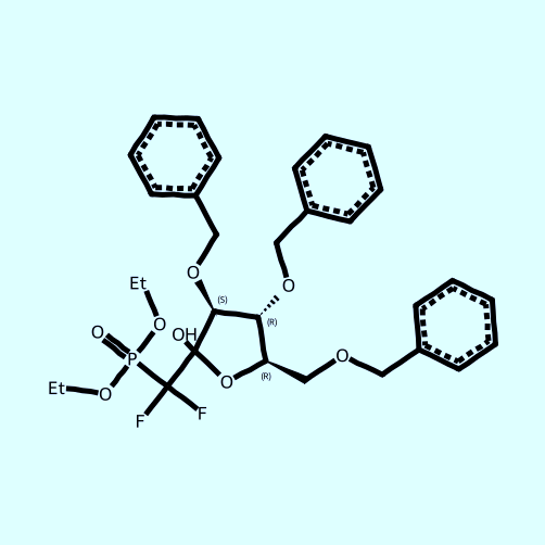 CCOP(=O)(OCC)C(F)(F)C1(O)O[C@H](COCc2ccccc2)[C@@H](OCc2ccccc2)[C@@H]1OCc1ccccc1